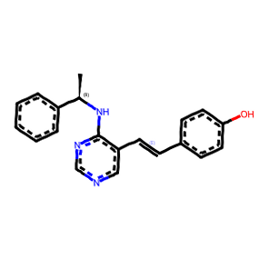 C[C@@H](Nc1ncncc1/C=C/c1ccc(O)cc1)c1ccccc1